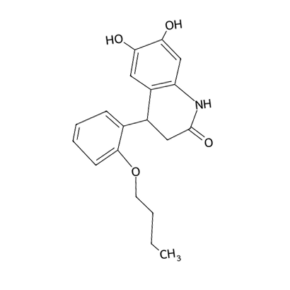 CCCCOc1ccccc1C1CC(=O)Nc2cc(O)c(O)cc21